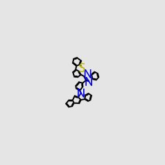 c1cc(-c2nc3ccccc3nc2-c2cccc3c2sc2ccccc23)cc(-n2c3ccccc3c3cc4ccccc4cc32)c1